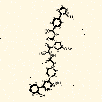 CC(=O)O[C@@H]1C[C@@H](C(=O)NC(C)c2ccc(-c3scnc3C)cc2)N(C(=O)C(NC(=O)CN2CCN(c3cc(-c4ccccc4O)nnc3N)CC2)C(C)(C)C)C1